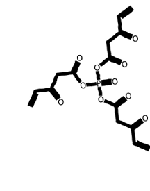 C=CC(=O)CC(=O)OP(=O)(OC(=O)CC(=O)C=C)OC(=O)CC(=O)C=C